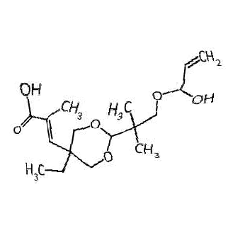 C=CC(O)OCC(C)(C)C1OCC(C=C(C)C(=O)O)(CC)CO1